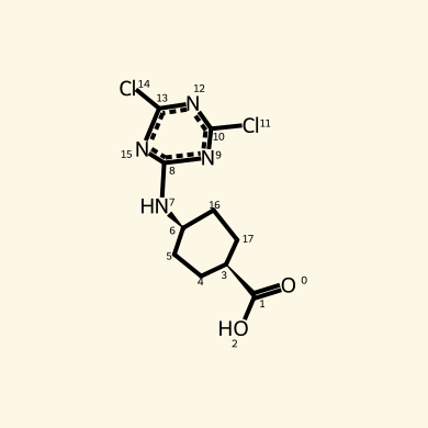 O=C(O)[C@H]1CC[C@@H](Nc2nc(Cl)nc(Cl)n2)CC1